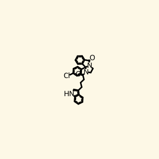 O=C(CCCc1c[nH]c2ccccc12)N1CCN2C(=O)c3ccccc3C12c1ccc(Cl)cc1